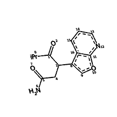 CC(C)C(=O)C(CC(N)=O)c1coc2ncccc12